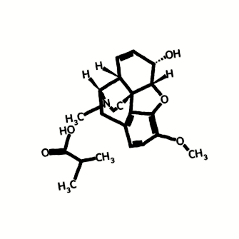 CC(C)C(=O)O.COc1ccc2c3c1O[C@H]1[C@@H](O)C=C[C@H]4[C@@H](C2)N(C)CC[C@@]341